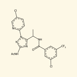 CC(=O)Nc1nc(C(C)NC(=O)c2cc(Cl)cc(C(F)(F)F)c2)n(-c2ccc(Cl)cn2)n1